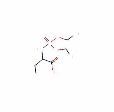 CCOP(=S)(NC(CC)C(=O)O)OCC